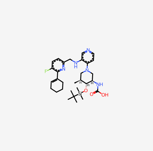 C[C@H]1CN(c2ccncc2NCc2ccc(F)c(C3=CCCCC3)n2)C[C@@H](NC(=O)O)[C@@H]1O[Si](C)(C)C(C)(C)C